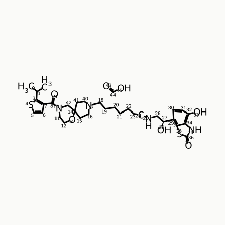 CC(C)c1sccc1C(=O)N1CCOC2(CCN(CCCCCCCNC[C@H](O)c3ccc(O)c4[nH]c(=O)sc34)CC2)C1.O=CO